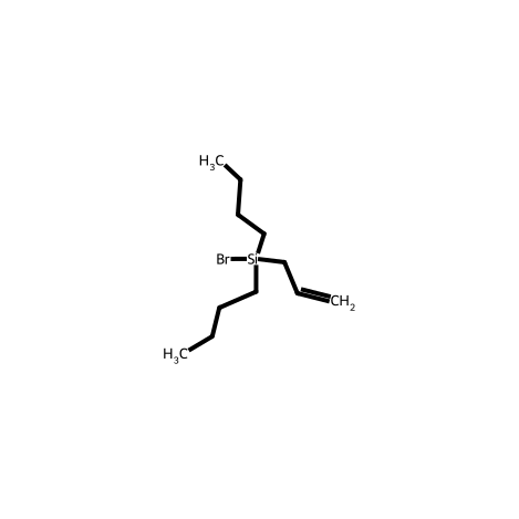 C=CC[Si](Br)(CCCC)CCCC